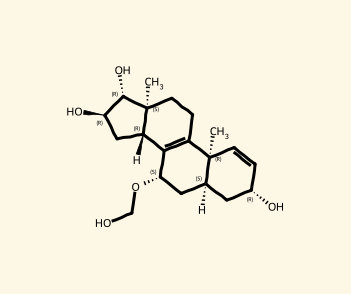 C[C@]12CCC3=C([C@@H](OCO)C[C@@H]4C[C@@H](O)C=C[C@]34C)[C@@H]1C[C@@H](O)[C@@H]2O